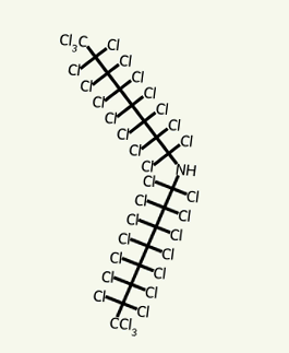 ClC(Cl)(Cl)C(Cl)(Cl)C(Cl)(Cl)C(Cl)(Cl)C(Cl)(Cl)C(Cl)(Cl)C(Cl)(Cl)C(Cl)(Cl)NC(Cl)(Cl)C(Cl)(Cl)C(Cl)(Cl)C(Cl)(Cl)C(Cl)(Cl)C(Cl)(Cl)C(Cl)(Cl)C(Cl)(Cl)Cl